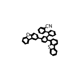 N#Cc1ccccc1-c1ccccc1-c1cc(-c2ccc3oc4ccccc4c3c2)ccc1-c1cccc2c1sc1ccccc12